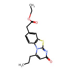 CCCc1cc(=O)nc2sc3cc(CC(=O)OCC)ccc3n12